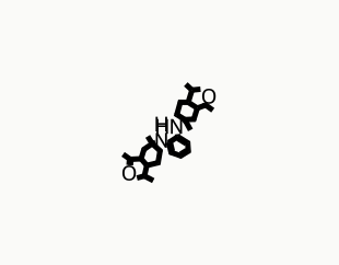 CC(=O)C1CC(C)(Nc2ccccc2NC2(C)CCC(C(C)C)C(C(C)=O)C2)CCC1C(C)C